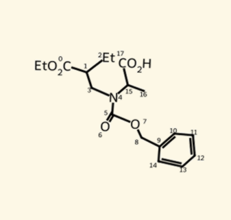 CCOC(=O)C(CC)CN(C(=O)OCc1ccccc1)C(C)C(=O)O